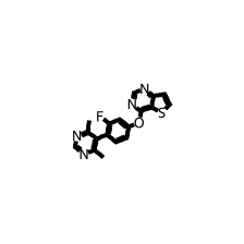 Cc1ncnc(C)c1-c1ccc(Oc2ncnc3ccsc23)cc1F